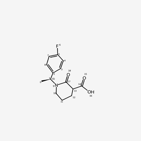 C[C@@H](c1ccc(F)cc1)N1CCCC(C(=O)O)C1=O